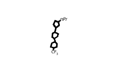 CCCC1CCC(C2CCC(C3CCC(C(F)(F)F)CC3)CC2)C1